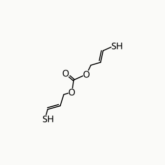 O=C(OCC=CS)OCC=CS